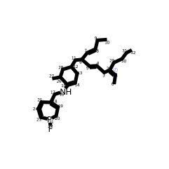 C/C=C(\CC=CC(C=CCC)CC1CC=C(NCC2=CCP(F)C=C=C2)C(C)C1)CCCC